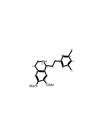 COc1cc2c(cc1OC)C(CCc1cc(C)cc(C)c1)NCC2